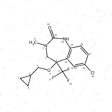 CN1CC(OCC2CC2)(C(F)(F)F)c2cc(Cl)ccc2NC1=O